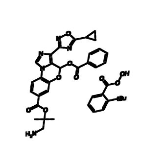 CC(C)(C)c1ccccc1C(=O)OO.CC(C)(CN)OC(=O)c1ccc2c(c1)OC(OC(=O)c1ccccc1)c1c(-c3noc(C4CC4)n3)ncn1-2